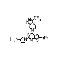 CCCc1cc2c(N3CCn4c(nnc4C(F)(F)F)C3)nc(N3CCC(N)C3)nc2s1